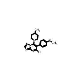 CSc1ccc(-c2c(Cl)nc3ncnn3c2N2CCC(C)CC2)cc1